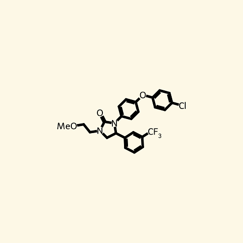 COCCN1CC(c2cccc(C(F)(F)F)c2)N(c2ccc(Oc3ccc(Cl)cc3)cc2)C1=O